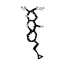 Nc1nc2oc3ccc(C=CC4CC4)cc3c(=O)c2cc1C(=O)O